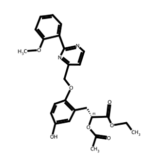 CCOC(=O)[C@@H](Cc1cc(O)ccc1OCc1ccnc(-c2ccccc2OC)n1)OC(C)=O